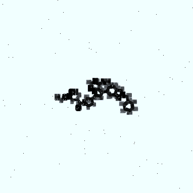 CN(C)CCC(=O)N1CCC(c2cc(-c3ccc4cn(Cc5ccccc5)nc4c3)c3c(N)ncnn23)C1